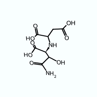 NC(=O)C(O)[C@H](NC(CC(=O)O)C(=O)O)C(=O)O